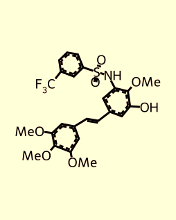 COc1cc(C=Cc2cc(O)c(OC)c(NS(=O)(=O)c3cccc(C(F)(F)F)c3)c2)cc(OC)c1OC